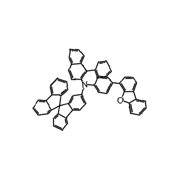 c1ccc(-c2c(N(c3ccc(-c4cccc5c4oc4ccccc45)cc3)c3ccc4c(c3)C3(c5ccccc5-c5ccccc53)c3ccccc3-4)ccc3ccccc23)cc1